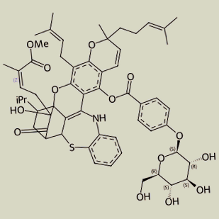 COC(=O)/C(C)=C\CC1(O)C(=O)C2CC(C(C)C)C13Oc1c(CC=C(C)C)c4c(c(OC(=O)c5ccc(O[C@@H]6O[C@H](CO)[C@@H](O)[C@H](O)[C@H]6O)cc5)c1C1=C3C2Sc2ccccc2N1)C=CC(C)(CCC=C(C)C)O4